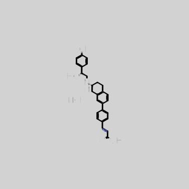 Cl.O=C(O)/C=C/c1ccc(-c2ccc3c(c2)C[C@@H](NC[C@H](O)c2ccc(Cl)cc2)CC3)cc1